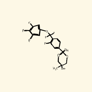 CCCC1(C)COC(O)(c2ccc(C(F)(F)Oc3cc(F)c(F)c(F)c3)c(F)c2)OC1